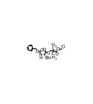 CC[C@H](C)[C@H](NC(=O)OCc1ccccc1)C(=O)OCC(C)(C)C(=O)OCCl